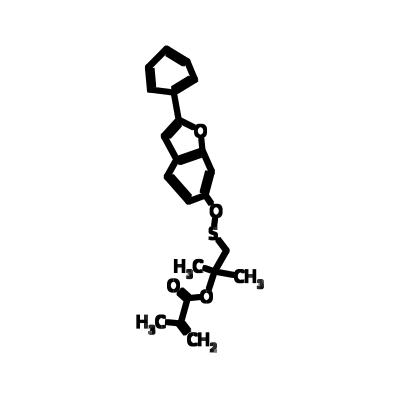 C=C(C)C(=O)OC(C)(C)CSOc1ccc2cc(-c3ccccc3)oc2c1